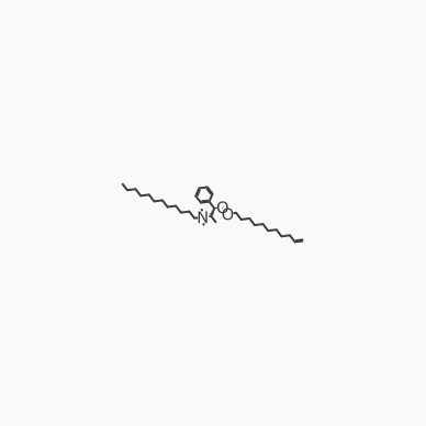 C=CCCCCCCCCCOO[C@H](c1ccccc1)C(C)[N+](C)(C)CCCCCCCCCCCC